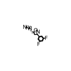 [N-]=[N+]=NC[C@H]1CC(c2cc(F)cc(F)c2)=NO1